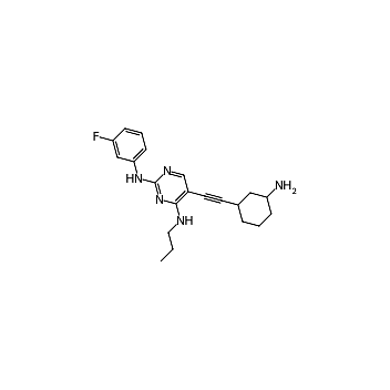 CCCNc1nc(Nc2cccc(F)c2)ncc1C#CC1CCCC(N)C1